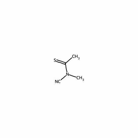 CC(=S)N(C)C#N